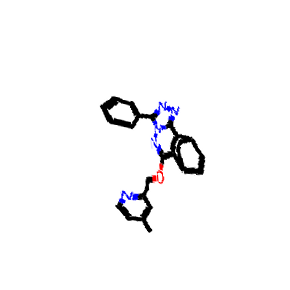 Cc1ccnc(COc2nn3c(-c4ccccc4)nnc3c3c2C2CCC3CC2)c1